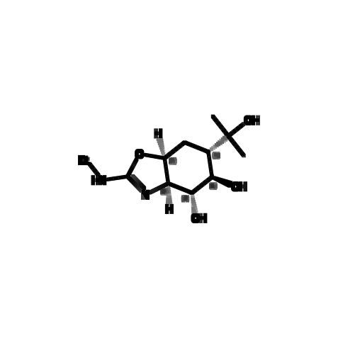 CCNC1=N[C@@H]2[C@@H](O)[C@H](O)[C@@H](C(C)(C)O)C[C@@H]2O1